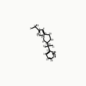 CC(C)c1cc2n(n1)CC(C(C)(C)c1cccnn1)CC2